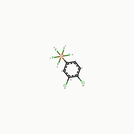 FS(F)(F)(F)(F)c1ccc(Cl)c(Cl)c1